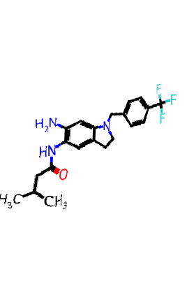 CC(C)CC(=O)Nc1cc2c(cc1N)N(Cc1ccc(C(F)(F)F)cc1)CC2